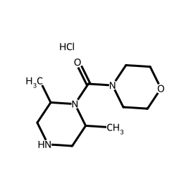 CC1CNCC(C)N1C(=O)N1CCOCC1.Cl